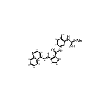 CNC(=N)Nc1cc(NC(=O)c2sccc2NCc2ccnc3ccccc23)ccc1C